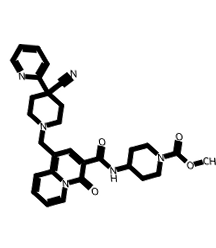 COC(=O)N1CCC(NC(=O)c2cc(CN3CCC(C#N)(c4ccccn4)CC3)c3ccccn3c2=O)CC1